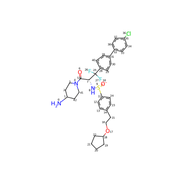 NC1CCN(C(=O)[C@@H](N[S+]([O-])c2ccc(CCOC3CCCC3)cc2)C(F)(F)c2ccc(-c3ccc(Cl)cc3)cc2)CC1